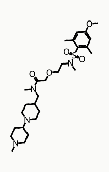 COc1cc(C)c(S(=O)(=O)N(C)CCOCC(=O)N(C)CC2CCN(C3CCN(C)CC3)CC2)c(C)c1